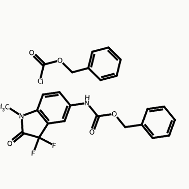 CN1C(=O)C(F)(F)c2cc(NC(=O)OCc3ccccc3)ccc21.O=C(Cl)OCc1ccccc1